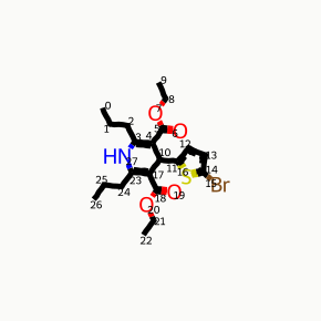 CCCC1=C(C(=O)OCC)C(c2ccc(Br)s2)C(C(=O)OCC)=C(CCC)N1